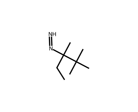 CCC(C)(N=N)C(C)(C)C